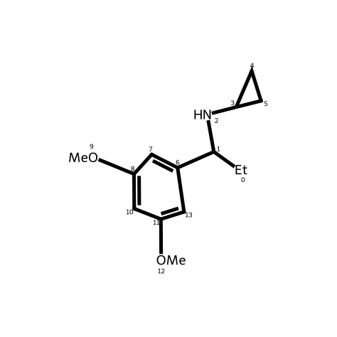 CCC(NC1CC1)c1cc(OC)cc(OC)c1